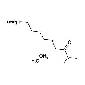 CCCCCCCCCCCCCC(=O)N(C)C.O.O